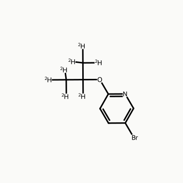 [2H]C([2H])([2H])C([2H])(Oc1ccc(Br)cn1)C([2H])([2H])[2H]